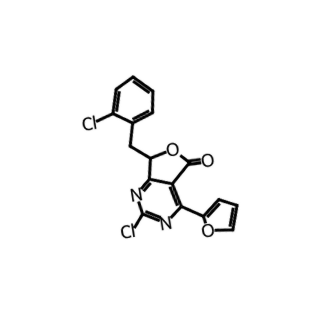 O=C1OC(Cc2ccccc2Cl)c2nc(Cl)nc(-c3ccco3)c21